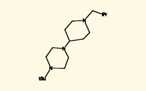 CC(C)CN1CCC(N2CCN(C(C)(C)C)CC2)CC1